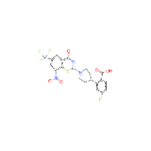 O=C(O)c1ccc(F)cc1C1CCN(c2nc(=O)c3cc(C(F)(F)F)cc([N+](=O)[O-])c3s2)CC1